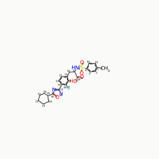 Cc1ccc(S(=O)(=O)NC(Cc2ccc(-c3noc(C4CCCCC4)n3)c(F)c2)C(=O)O)cc1